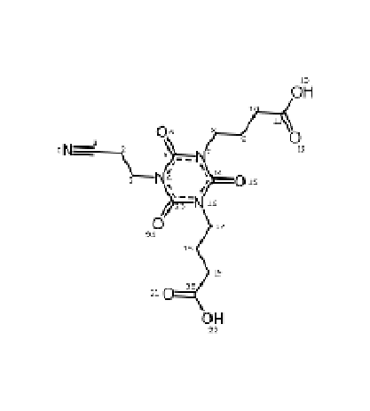 N#CCCn1c(=O)n(CCCC(=O)O)c(=O)n(CCCC(=O)O)c1=O